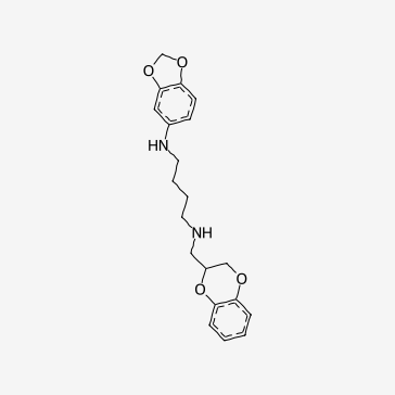 c1ccc2c(c1)OCC(CNCCCCNc1ccc3c(c1)OCO3)O2